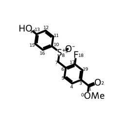 COC(=O)c1ccc(C[S+]([O-])c2ccc(O)cc2)c(F)c1